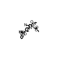 CCOC(=O)CSc1nc(N2CCC(C(=O)NS(=O)(=O)CC3CCCC3)CC2)c(C#N)cc1C(=O)OCC